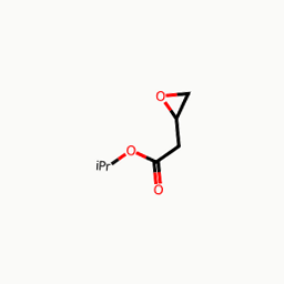 CC(C)OC(=O)CC1CO1